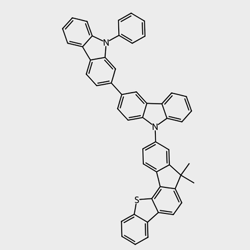 CC1(C)c2cc(-n3c4ccccc4c4cc(-c5ccc6c7ccccc7n(-c7ccccc7)c6c5)ccc43)ccc2-c2c1ccc1c2sc2ccccc21